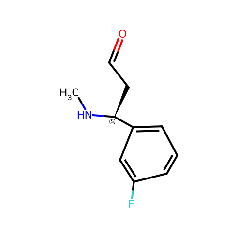 CN[C@@H](CC=O)c1cccc(F)c1